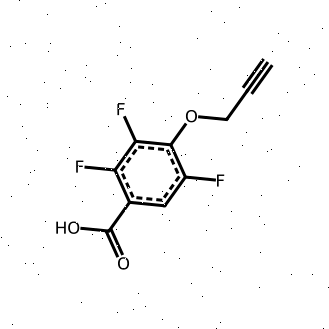 C#CCOc1c(F)cc(C(=O)O)c(F)c1F